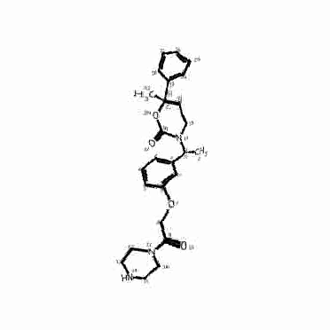 C[C@@H](c1cccc(OCC(=O)N2CCNCC2)c1)N1CC[C@@](C)(c2ccccc2)OC1=O